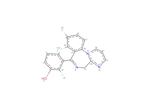 Oc1ccc(F)c(C2=NCc3nccc[n+]3-c3ccc(F)c(F)c32)c1F